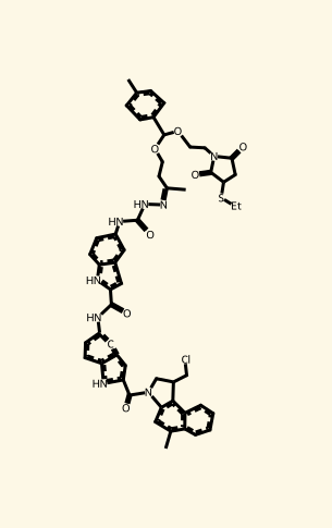 CCSC1CC(=O)N(CCOC(OCC/C(C)=N\NC(=O)Nc2ccc3[nH]c(C(=O)Nc4ccc5[nH]c(C(=O)N6CC(CCl)c7c6cc(C)c6ccccc76)cc5c4)cc3c2)c2ccc(C)cc2)C1=O